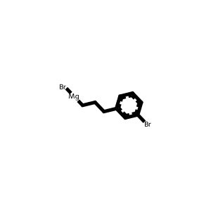 [Br][Mg][CH2]CCc1cccc(Br)c1